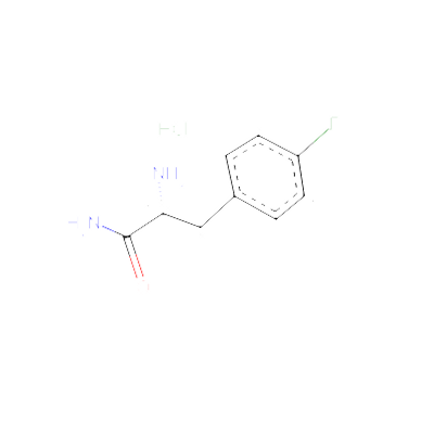 Cl.NC(=O)[C@H](N)Cc1ccc(F)cc1